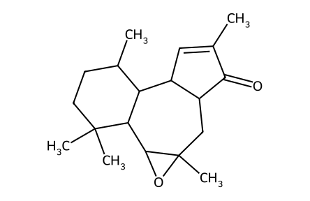 CC1=CC2C(CC3(C)OC3C3C2C(C)CCC3(C)C)C1=O